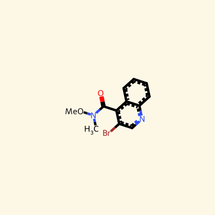 CON(C)C(=O)c1c(Br)cnc2ccccc12